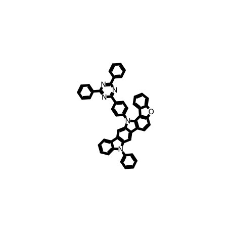 c1ccc(-c2nc(-c3ccccc3)nc(-c3ccc(-n4c5cc6c7ccccc7n(-c7ccccc7)c6cc5c5ccc6oc7ccccc7c6c54)cc3)n2)cc1